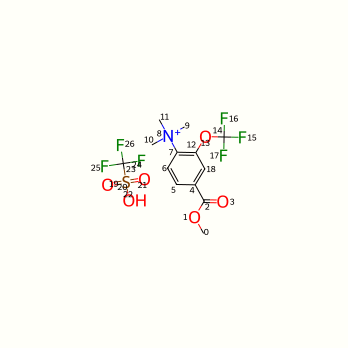 COC(=O)c1ccc([N+](C)(C)C)c(OC(F)(F)F)c1.O=S(=O)(O)C(F)(F)F